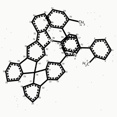 Cc1ccccc1-c1nc(-c2ccc3c(c2)C2(c4ccccc4-3)c3ccccc3-c3cc4c5ccccc5n(-c5ccccc5)c4cc32)nc(-c2ccccc2C)n1